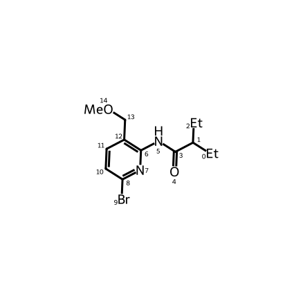 CCC(CC)C(=O)Nc1nc(Br)ccc1COC